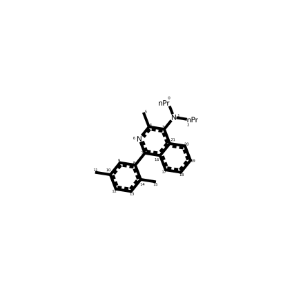 CCCN(CCC)c1c(C)nc(-c2cc(C)ccc2C)c2ccccc12